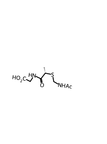 CC(=O)NCS[C@@H](C)C(=O)NCC(=O)O